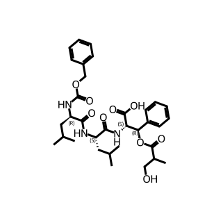 CC(C)C[C@H](NC(=O)[C@@H](CC(C)C)NC(=O)OCc1ccccc1)C(=O)N[C@H](C(=O)O)[C@H](OC(=O)C(C)CO)c1ccccc1